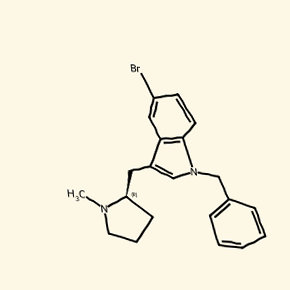 CN1CCC[C@@H]1Cc1cn(Cc2ccccc2)c2ccc(Br)cc12